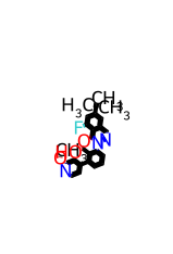 COc1cc(-c2cccc(-n3ncc4cc(C(C)(C)C)cc(F)c4c3=O)c2CO)ccn1